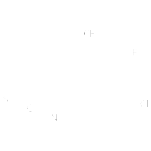 Fc1c(Cl)cc(N=C=S)cc1C(F)(F)F